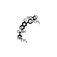 Cn1cc(C(=O)Nc2cc3cc(C4CCN(C5(C)COCC5O)CC4)c(Cl)cc3cn2)cn1